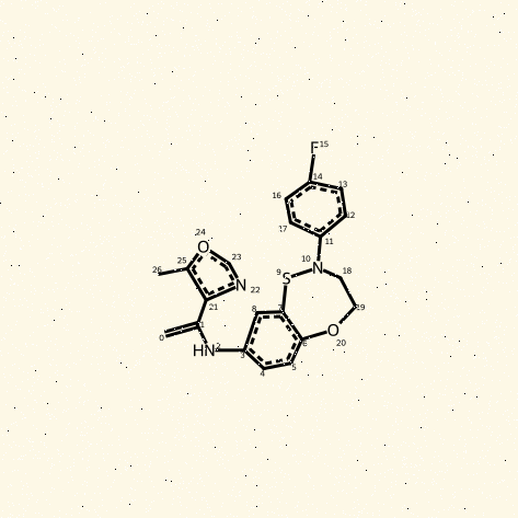 C=C(Nc1ccc2c(c1)SN(c1ccc(F)cc1)CCO2)c1ncoc1C